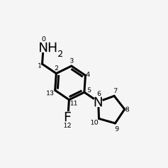 NCc1ccc(N2CCCC2)c(F)c1